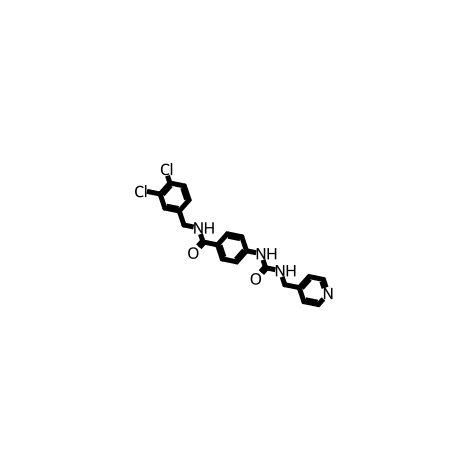 O=C(NCc1ccncc1)Nc1ccc(C(=O)NCc2ccc(Cl)c(Cl)c2)cc1